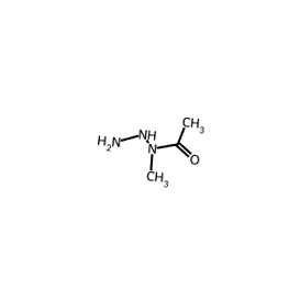 CC(=O)N(C)NN